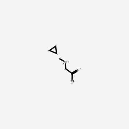 C1CC1.CNCC(=O)O